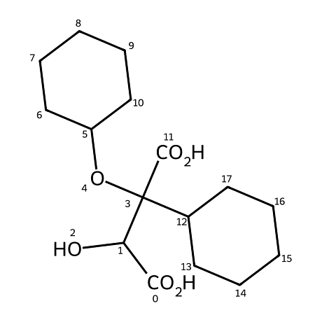 O=C(O)C(O)C(OC1CCCCC1)(C(=O)O)C1CCCCC1